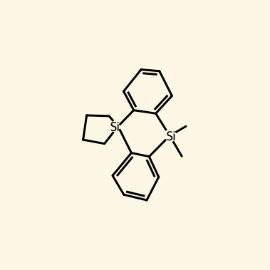 C[Si]1(C)c2ccccc2[Si]2(CCCC2)c2ccccc21